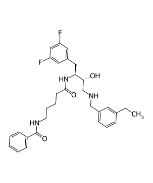 CCc1cccc(CNC[C@@H](O)[C@H](Cc2cc(F)cc(F)c2)NC(=O)CCCCNC(=O)c2ccccc2)c1